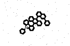 c1ccc(-c2ccc3cccc(-c4c5ccccc5c(-c5cccc6c5c5ccccc5n6-c5ccccc5)c5ccccc45)c3c2)cc1